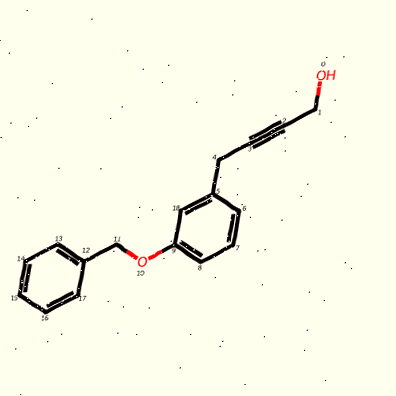 OCC#CCc1cccc(OCc2ccccc2)c1